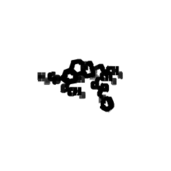 COc1cc2c(cc1OC)[C@H]1C[C@@H](COC(=O)CN3C#CCC3)[C@H](CC(C)C)CN1CC2